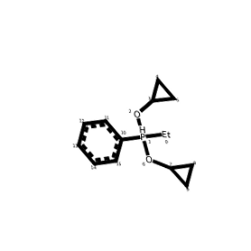 CC[PH](OC1CC1)(OC1CC1)c1ccccc1